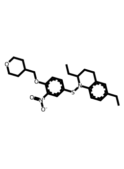 CCc1ccc2c(c1)CCC(CC)N2Sc1ccc(OCC2CCOCC2)c([N+](=O)[O-])c1